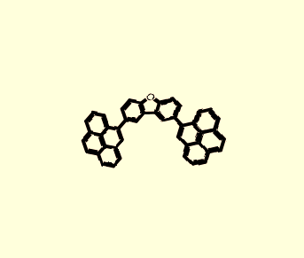 c1cc2ccc3cccc4c(-c5ccc6oc7ccc(-c8cc9cccc%10ccc%11cccc8c%11c%109)cc7c6c5)cc(c1)c2c34